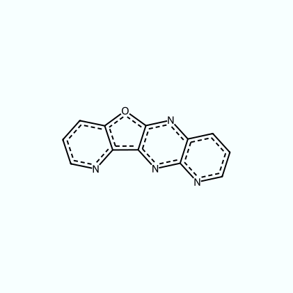 c1cnc2nc3c(nc2c1)oc1cccnc13